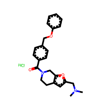 CN(C)Cc1cc2c(o1)CN(C(=O)c1ccc(COc3ccccc3)cc1)CC2.Cl